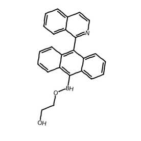 OCCOBc1c2ccccc2c(-c2nccc3ccccc23)c2ccccc12